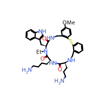 CCN1C(=O)[C@H](CCCCN)NC(=O)[C@H](CCCN)NCc2ccccc2Sc2ccc(OC)cc2CNC(=O)[C@@H]1Cc1c[nH]c2ccccc12